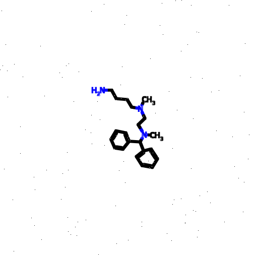 CN(CCCCN)CCN(C)C(c1ccccc1)c1ccccc1